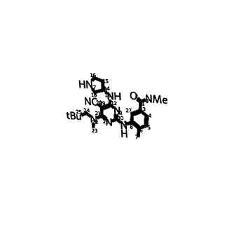 CNC(=O)c1ccc(C)c(Nc2nc(N[C@@H]3CCNC3)c(C#N)c(N(C)CC(C)(C)C)n2)c1